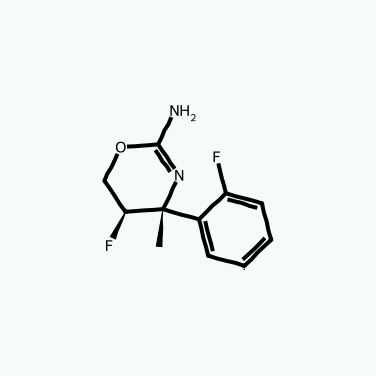 C[C@]1(c2c[c]ccc2F)N=C(N)OC[C@@H]1F